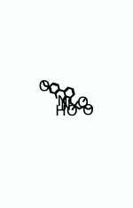 COCCC(O)(COC)c1c2cccc(-c3ccc(OC)cc3C)c2nn1C